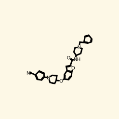 N#Cc1ccc(N2CCC(Oc3ccc4oc(C(=O)NC5CCN(Cc6ccccc6)CC5)cc4c3)CC2)cc1